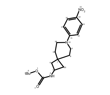 CC(C)(C)OC(=O)NC1CC2(CCN(c3ccc([N+](=O)[O-])cc3)CC2)C1